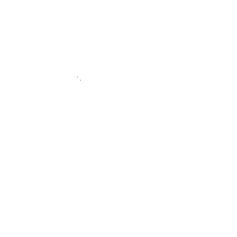 CC(N)C(Cc1cccc2ccccc12)c1ccc(Cl)cc1